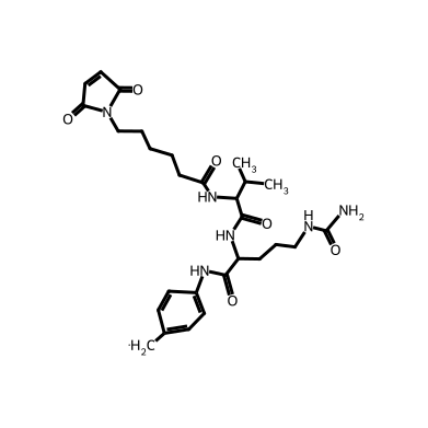 [CH2]c1ccc(NC(=O)C(CCCNC(N)=O)NC(=O)C(NC(=O)CCCCCN2C(=O)C=CC2=O)C(C)C)cc1